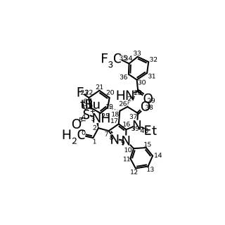 C=C[C@@H](N[S@@+]([O-])C(C)(C)C)c1nn(-c2ccccc2)c2c1[C@H](c1ccc(F)cc1)[C@H](NC(=O)c1cccc(C(F)(F)F)c1)C(=O)N2CC